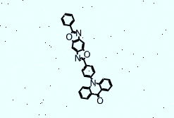 O=c1c2ccccc2n(-c2ccc(-c3nc4cc5oc(-c6ccccc6)nc5cc4o3)cc2)c2ccccc12